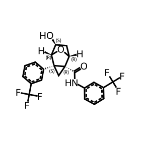 O=C(Nc1cccc(C(F)(F)F)c1)[C@]12C[C@@]1(c1cccc(C(F)(F)F)c1)[C@H]1O[C@@H]2C[C@@H]1O